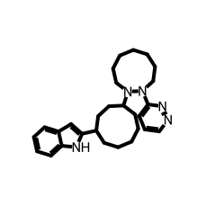 c1cnnc(N2CCCCCCCN2C2CCCCCC(c3cc4ccccc4[nH]3)CC2)c1